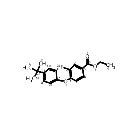 CCOC(=O)c1ccc(Oc2ccc(C(C)(C)C)cc2)c(F)c1